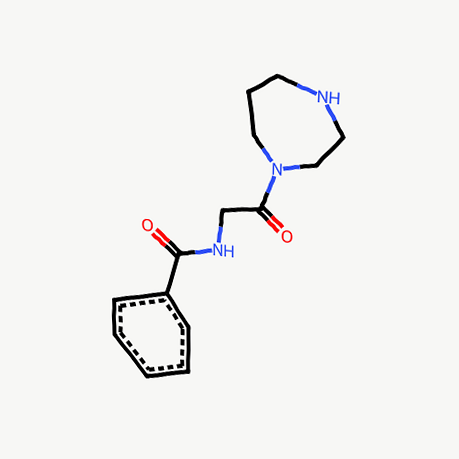 O=C(NCC(=O)N1CCCNCC1)c1ccccc1